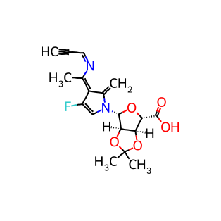 C#C/C=N\C(C)=c1\c(F)cn([C@@H]2O[C@H](C(=O)O)[C@H]3OC(C)(C)O[C@H]32)c1=C